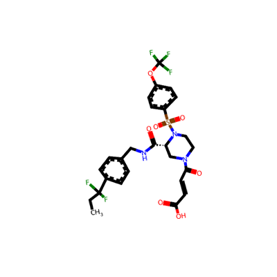 CCC(F)(F)c1ccc(CNC(=O)[C@H]2CN(C(=O)C=CC(=O)O)CCN2S(=O)(=O)c2ccc(OC(F)(F)F)cc2)cc1